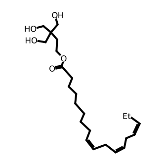 CC/C=C\C/C=C\C/C=C\CCCCCCCC(=O)OCCC(CO)(CO)CO